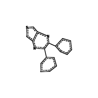 c1ccc(-c2nc3cscc3nc2-c2ccccc2)cc1